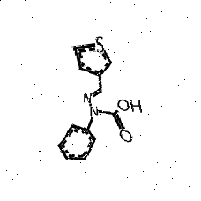 O=C(O)N(N=Cc1ccsc1)c1ccccc1